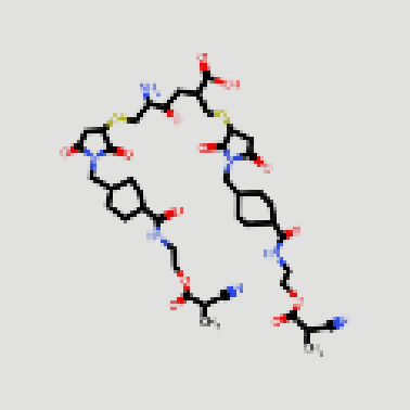 CC(C#N)C(=O)OCCNC(=O)C1CCC(CN2C(=O)CC(SCC(N)C(=O)CC(CSC3CC(=O)N(CC4CCC(C(=O)NCCOC(=O)C(C)C#N)CC4)C3=O)C(=O)O)C2=O)CC1